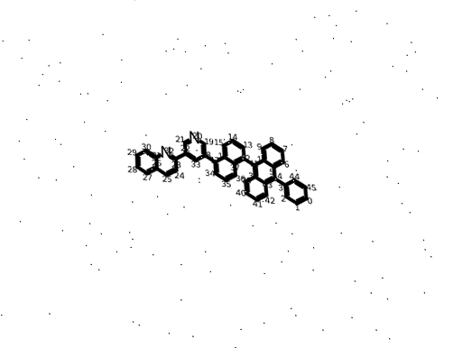 c1ccc(-c2c3ccccc3c(-c3cccc4c(-c5cncc(-c6ccc7ccccc7n6)c5)cccc34)c3ccccc23)cc1